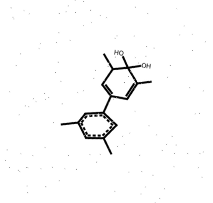 CC1=CC(c2cc(C)cc(C)c2)=CC(C)C1(O)O